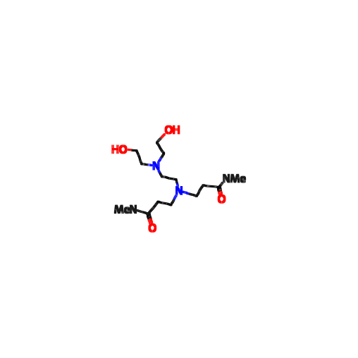 CNC(=O)CCN(CCC(=O)NC)CCN(CCO)CCO